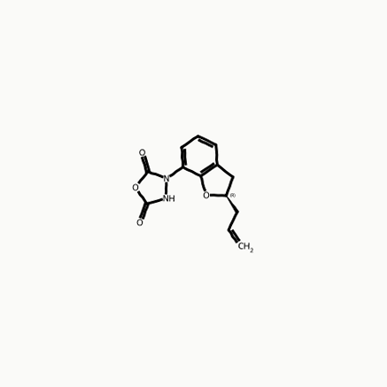 C=CC[C@@H]1Cc2cccc(-n3[nH]c(=O)oc3=O)c2O1